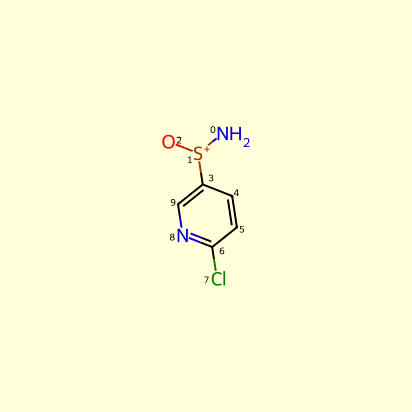 N[S+]([O-])c1ccc(Cl)nc1